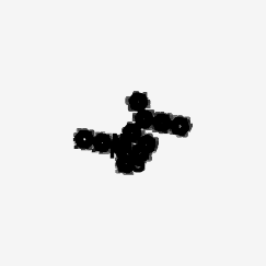 c1ccc(-c2cc(-c3ccc(-c4nc(-c5ccc(C6CCCCC6)cc5)nc(-c5cccc6oc7cc8ccccc8cc7c56)n4)cc3)cc(-c3ccc(C4CCCCC4)cc3)c2)cc1